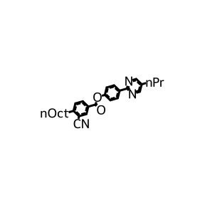 CCCCCCCCc1ccc(C(=O)Oc2ccc(-c3ncc(CCC)cn3)cc2)cc1C#N